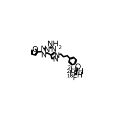 [2H]C([2H])([18F])C([2H])([2H])Oc1ccc(CCCn2ncc3c2nc(N)n2nc(-c4ccco4)nc32)cc1